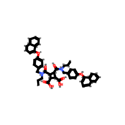 CCCN(Cc1ccc(Oc2cccc3ccccc23)cc1)C(=O)C1C(C(=O)O)C(C(=O)O)C1C(=O)N(CCC)Cc1ccc(Oc2cccc3ccccc23)cc1